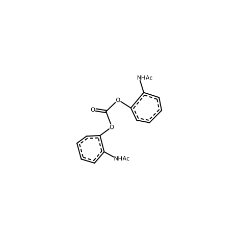 CC(=O)Nc1ccccc1OC(=O)Oc1ccccc1NC(C)=O